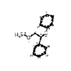 [SiH3]OCC(Oc1ccccc1)c1ccccc1